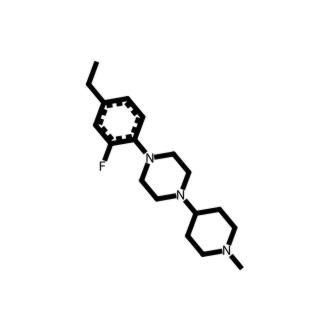 CCc1ccc(N2CCN(C3CCN(C)CC3)CC2)c(F)c1